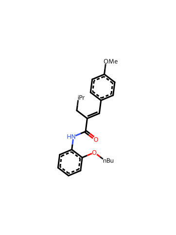 CCCCOc1ccccc1NC(=O)/C(=C/c1ccc(OC)cc1)CC(C)C